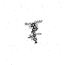 C=CC(=O)Nc1cc(-c2ncc3cc(-c4c(Cl)c(OC)cc(OC)c4Cl)c4nccn4c3n2)c(OC)cc1N1CCN(C2CC2)CC1